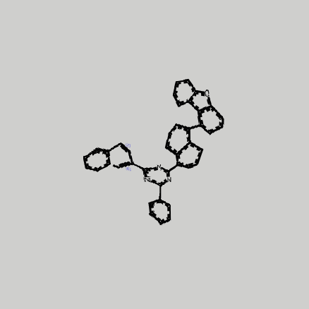 C/C=C(\C=C/c1ccccc1)c1nc(-c2ccccc2)nc(-c2cccc3c(-c4cccc5oc6ccccc6c45)cccc23)n1